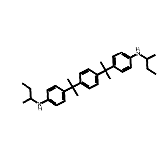 CCC(C)Nc1ccc(C(C)(C)c2ccc(C(C)(C)c3ccc(NC(C)CC)cc3)cc2)cc1